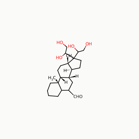 C[C@]12CCCCC1C(C=O)C[C@@H]1[C@H]2CC[C@@]2(C)[C@H]1CCC2(C(O)CO)C(O)CO